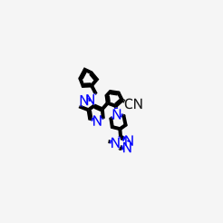 Cn1cnnc1C1CCN(c2c(C#N)cccc2-c2cncc3cnn(Cc4ccccc4)c23)CC1